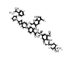 C=Cc1nc2[nH]cc(F)c2cc1Oc1cc(N2CCC3(CC2)CC(N2CCC[C@@H]2c2ccccc2C(C)C)C3)ccc1C(=O)NS(=O)(=O)c1cc(N=O)c2c(c1)OC[C@H]([C@H]1CC[C@](C)(O)CC1)N2